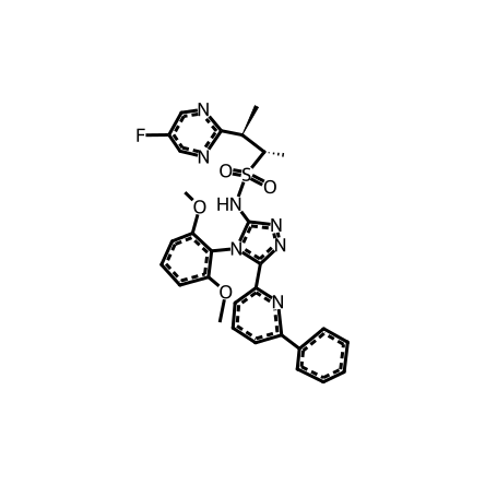 COc1cccc(OC)c1-n1c(NS(=O)(=O)[C@@H](C)[C@H](C)c2ncc(F)cn2)nnc1-c1cccc(-c2ccccc2)n1